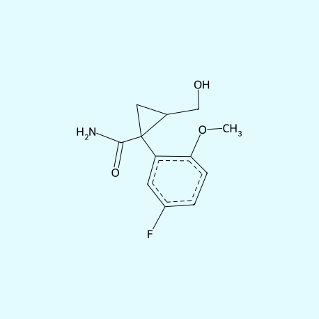 COc1ccc(F)cc1C1(C(N)=O)CC1CO